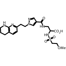 COCCS(=O)(=O)NC(CNC(=O)c1cnn(CCc2ccc3c(n2)NCCC3)c1)C(=O)O